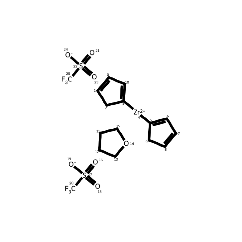 C1=CC[C]([Zr+2][C]2=CC=CC2)=C1.C1CCOC1.O=S(=O)([O-])C(F)(F)F.O=S(=O)([O-])C(F)(F)F